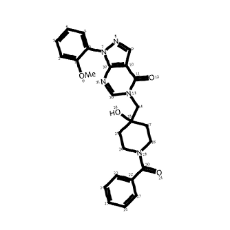 COc1ccccc1-n1ncc2c(=O)n(CC3(O)CCN(C(=O)c4ccccc4)CC3)cnc21